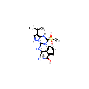 CC(C)c1cnn2c(NC(C)c3ccccc3C(N)=O)nc(S(C)(=O)=O)nc12